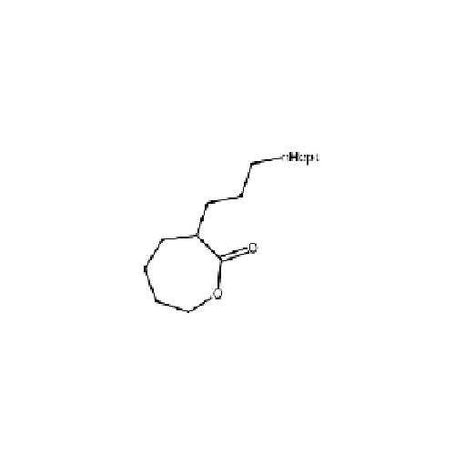 CCCCCCCCCCC1CCCCOC1=O